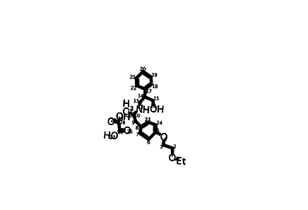 CCOCCOc1ccc(C[C@@H](C)NCC(CO)c2ccccc2)cc1.O=C(O)C(=O)O